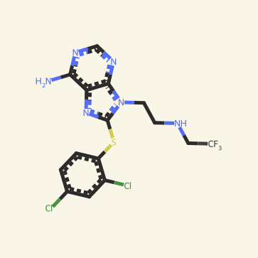 Nc1ncnc2c1nc(Sc1ccc(Cl)cc1Cl)n2CCNCC(F)(F)F